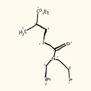 CCOC(=O)C(C)CSC(=O)N(CC(C)C)CC(C)C